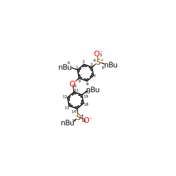 CCCCc1cc([S+]([O-])CCCC)ccc1Oc1ccc([S+]([O-])CCCC)cc1CCCC